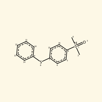 C[SH](C)(=O)c1ccc(Sc2ccccc2)cc1